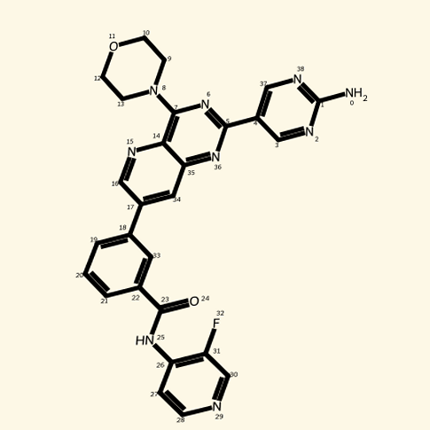 Nc1ncc(-c2nc(N3CCOCC3)c3ncc(-c4cccc(C(=O)Nc5ccncc5F)c4)cc3n2)cn1